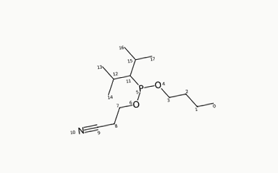 CCCCOP(OCCC#N)C(C(C)C)C(C)C